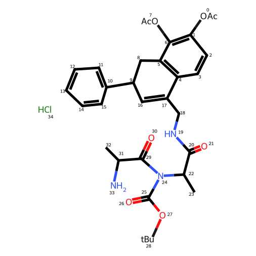 CC(=O)Oc1ccc2c(c1OC(C)=O)CC(c1ccccc1)C=C2CNC(=O)C(C)N(C(=O)OC(C)(C)C)C(=O)C(C)N.Cl